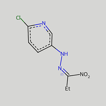 CC/C(=N/Nc1ccc(Cl)nc1)[N+](=O)[O-]